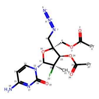 CC(C)C(=O)OC[C@@]1(CN=[N+]=[N-])O[C@@H](n2ccc(N)nc2=O)[C@](C)(F)[C@@H]1OC(=O)C(C)C